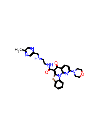 Cc1cnc(CNCCNC(=O)c2c(=O)c3ccc(N4CCOCC4)nc3n3c2sc2ccccc23)cn1